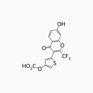 O=C(O)Oc1csc(-c2c(C(F)(F)F)oc3cc(O)ccc3c2=O)c1